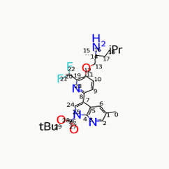 Cc1cnc2c(c1)c(-c1ccc(OC[C@@](C)(N)CC(C)C)c(C(F)F)n1)cn2C(=O)OC(C)(C)C